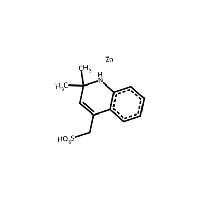 CC1(C)C=C(CS(=O)(=O)O)c2ccccc2N1.[Zn]